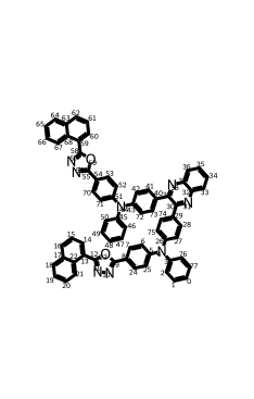 c1ccc(N(c2ccc(-c3nnc(-c4cccc5ccccc45)o3)cc2)c2ccc(-c3nc4ccccc4nc3-c3ccc(N(c4ccccc4)c4ccc(-c5nnc(-c6cccc7ccccc67)o5)cc4)cc3)cc2)cc1